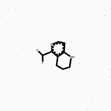 FC(F)c1nccc2c1CCCN2